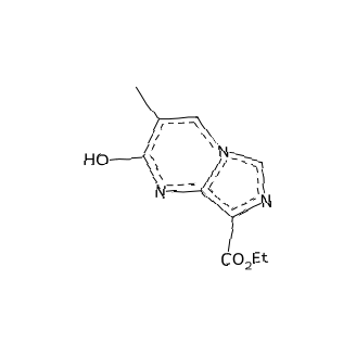 CCOC(=O)c1ncn2cc(C)c(O)nc12